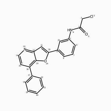 O=C(CCl)Nc1cccc(-c2cc3nccc(-c4ccccc4)c3o2)c1